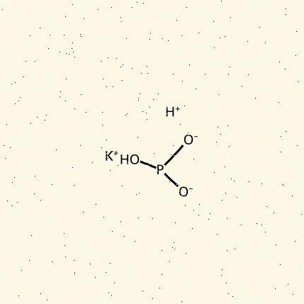 [H+].[K+].[O-]P([O-])O